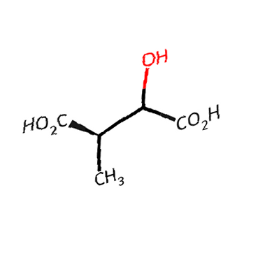 C[C@@H](C(=O)O)C(O)C(=O)O